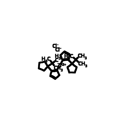 CC(C)(C)C1(C2=[C]([Zr+2][C]3=C(C4(C(C)(C)C)CCCC4)C=CC3)CC=C2)CCCC1.[Cl-].[Cl-]